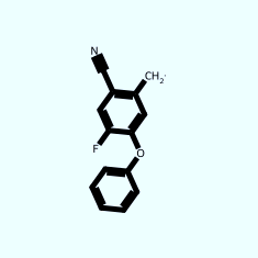 [CH2]c1cc(Oc2ccccc2)c(F)cc1C#N